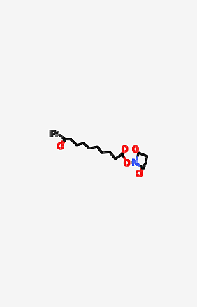 CC(C)C(=O)CCCCCCCCC(=O)ON1C(=O)CCC1=O